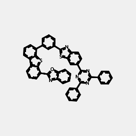 c1ccc(-c2nc(-c3ccccc3)nc(-c3ccc4nc(-c5cccc(-c6cccc7c6sc6c(-c8nc9ccccc9o8)cccc67)c5)sc4c3)n2)cc1